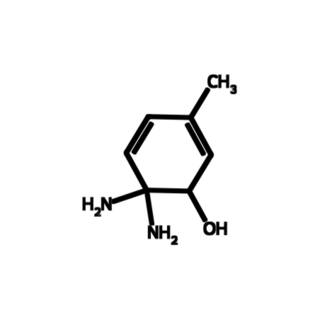 CC1=CC(O)C(N)(N)C=C1